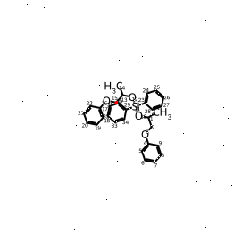 CC(COc1ccccc1)O[Si](OC(C)COc1ccccc1)(c1ccccc1)c1ccccc1